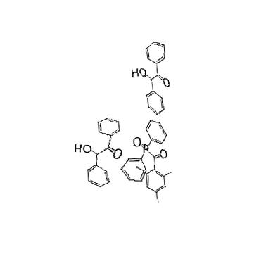 Cc1cc(C)c(C(=O)P(=O)(c2ccccc2)c2ccccc2)c(C)c1.O=C(c1ccccc1)C(O)c1ccccc1.O=C(c1ccccc1)C(O)c1ccccc1